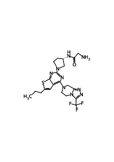 CCCc1cc2c(N3CCn4c(nnc4C(F)(F)F)C3)nc(N3CC[C@H](NC(=O)CN)C3)nc2s1